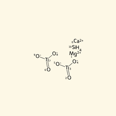 [Ca+2].[Mg+2].[O]=[Ti]([O-])[O-].[O]=[Ti]([O-])[O-].[SiH4]